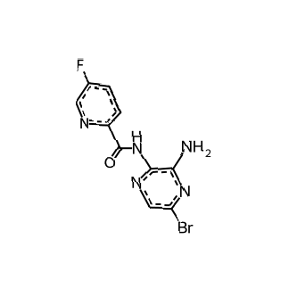 Nc1nc(Br)cnc1NC(=O)c1ccc(F)cn1